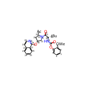 COc1ccccc1OC(=O)N[C@H](C(=O)N1C[C@H](Oc2nccc3ccccc23)C[C@H]1C(C)=O)C(C)(C)C